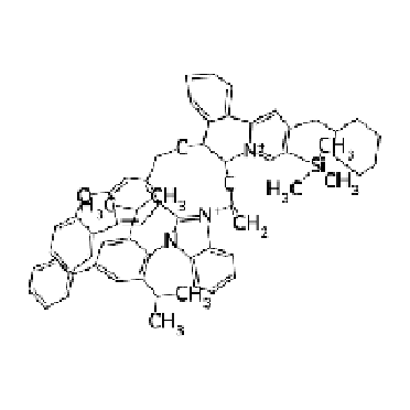 C=C1CC2C(CCc3cc4oc5ccccc5c4cc3-c3n(-c4c(C(C)C)cc(-c5ccccc5)cc4C(C)C)c4ccccc4[n+]31)c1ccccc1-c1cc(CC3CCCCC3)c([Si](C)(C)C)c[n+]12